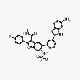 Bc1ccc2nc(-c3cccc(-c4cc5c(C(=O)NC)c(-c6ccc(F)cc6)oc5cc4N(C)S(C)(=O)=O)c3)[nH]c2c1